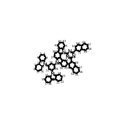 C1=CC2c3ccccc3N(c3cc(-n4c5ccccc5c5ccccc54)cc(-n4c5ccccc5c5c4ccc4c6ccccc6n(-c6nc(-c7ccc8ccccc8c7)nc(-c7ccc8ccccc8c7)n6)c45)c3)C2C=C1